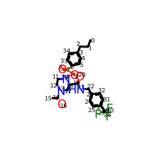 CCCc1ccc(S(=O)(=O)N2CCN(C(C)=O)CC2C(=O)NCc2ccc(C(F)(F)F)cc2)cc1